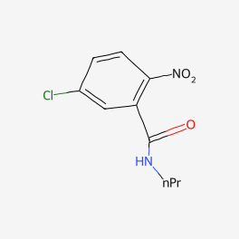 CCCNC(=O)c1cc(Cl)ccc1[N+](=O)[O-]